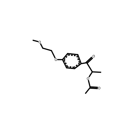 COCCOc1ccc(C(=O)C(C)OC(C)=O)cc1